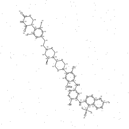 CCc1cc(Nc2ncc(Br)c(Nc3ccc4nc(C)ccc4c3P(C)(C)=O)n2)c(OC)cc1N1CCC(N2CCN(CCc3cc(F)c(C4CCC(=O)NC4=O)c(F)c3)C[C@@H]2C)CC1